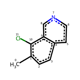 Cc1ccc2ccncc2c1Cl